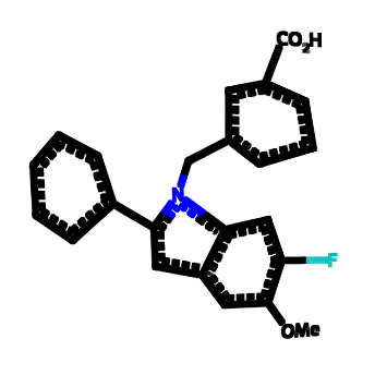 COc1cc2cc(-c3ccccc3)n(Cc3cccc(C(=O)O)c3)c2cc1F